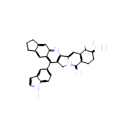 C=C1CCC2=C(C=C3c4nc5cc6c(cc5c(-c5ccc7[nH]ccc7c5)c4CN3C2=C)CCC6)C1O